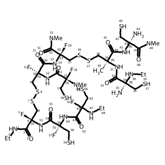 CCNC(=O)[C@](F)(CSSC[C@](F)(NC(=O)[C@](F)(CS)NC)C(=O)N[C@@](F)(CSSC[C@](C)(NC(=O)[C@](N)(CS)NCC)C(=O)N[C@@](N)(CS)C(=O)NC)C(=O)NC)NC(=O)[C@](F)(CS)NC(=O)C(F)(CS)NCC